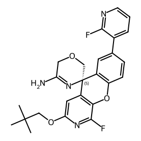 CC(C)(C)COc1cc2c(c(F)n1)Oc1ccc(-c3cccnc3F)cc1[C@@]21COCC(N)=N1